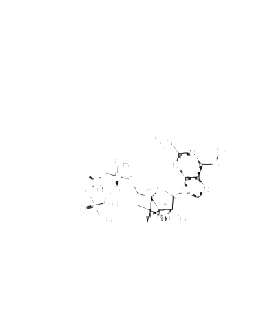 CCOc1nc(N)nc2c1ncn2[C@@H]1O[C@]2(COP(=O)(O)OP(=O)(O)OP(=O)(O)O)[C@@H](O)[C@H]1OC2(C)C